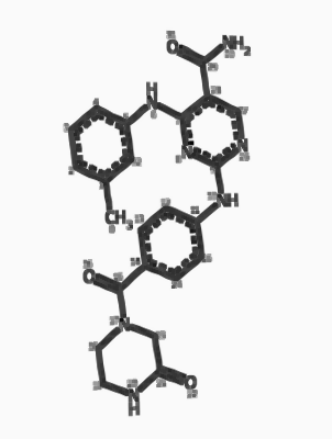 Cc1cccc(Nc2nc(Nc3ccc(C(=O)N4CCNC(=O)C4)cc3)ncc2C(N)=O)c1